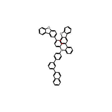 c1cc(-c2ccc(N(c3ccc(-c4ccc5oc6ccccc6c5c4)cc3)c3ccccc3-c3ccc4oc5ccccc5c4c3)cc2)cc(-c2ccc3ccccc3c2)c1